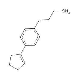 [SiH3]CCCc1ccc(C2=CCCC2)cc1